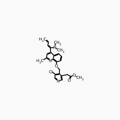 C=C/C=C(/c1cc(C)nc2c(OCc3c(Cl)cncc3CC(=O)OC)cccc12)N(C)C